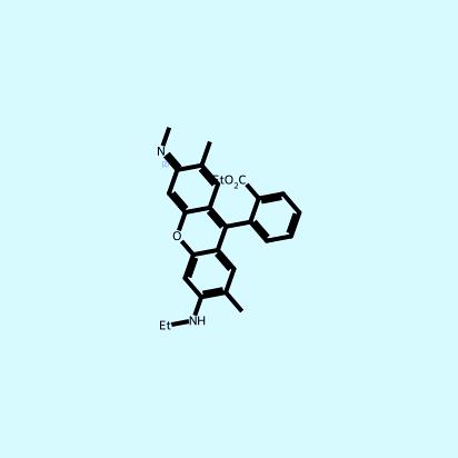 CCNc1cc2oc3c/c(=N/C)c(C)cc-3c(-c3ccccc3C(=O)OCC)c2cc1C